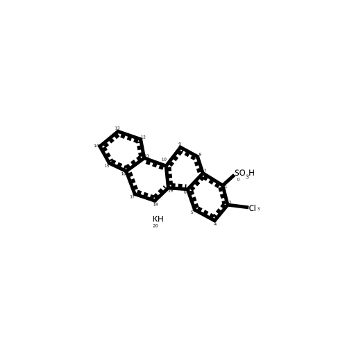 O=S(=O)(O)c1c(Cl)ccc2c1ccc1c3ccccc3ccc21.[KH]